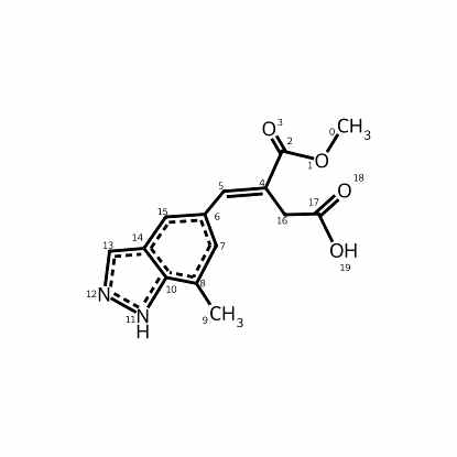 COC(=O)/C(=C/c1cc(C)c2[nH]ncc2c1)CC(=O)O